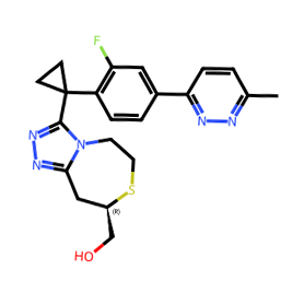 Cc1ccc(-c2ccc(C3(c4nnc5n4CCS[C@@H](CO)C5)CC3)c(F)c2)nn1